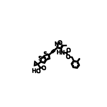 Cc1ccccc1COC(=O)Nc1c(C#Cc2cc3cc(C4(C(=O)O)CC4)sc3s2)noc1C